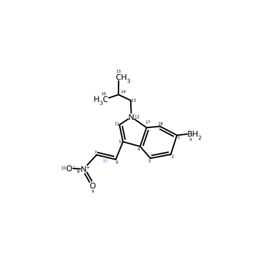 Bc1ccc2c(/C=C/[N+](=O)[O-])cn(CC(C)C)c2c1